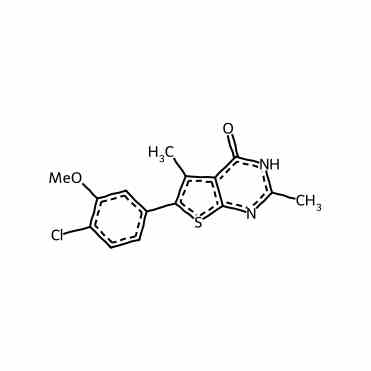 COc1cc(-c2sc3nc(C)[nH]c(=O)c3c2C)ccc1Cl